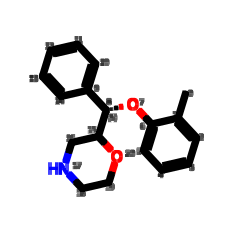 Cc1ccccc1O[C@@H](c1ccccc1)C1CNCCO1